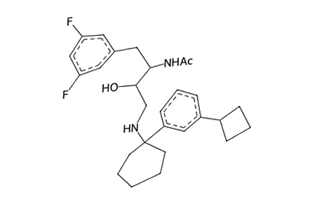 CC(=O)NC(Cc1cc(F)cc(F)c1)C(O)CNC1(c2cccc(C3CCC3)c2)CCCCC1